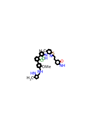 C=C1C=Cc2sc(CCC3CCC(=N)C(=O)C3)nc2C1Nc1cccc(-c2cccc(-c3ccc(CNCC4CCC(C)C4=N)c(OC)c3)c2Cl)c1Cl